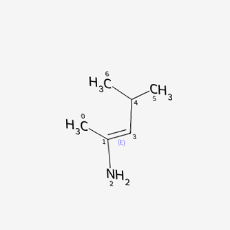 C/C(N)=C\C(C)C